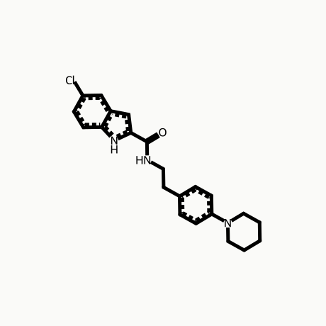 O=C(NCCc1ccc(N2CCCCC2)cc1)c1cc2cc(Cl)ccc2[nH]1